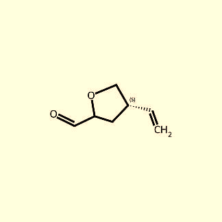 C=C[C@H]1COC(C=O)C1